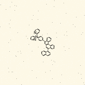 c1ccc(N(c2ccc(-c3cc4cc(-c5cccc6ccccc56)c5ccccc5c4c4ccccc34)cc2)c2ccccn2)nc1